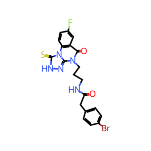 O=C(Cc1ccc(Br)cc1)NCCCn1c(=O)c2cc(F)ccc2n2c(=S)[nH]nc12